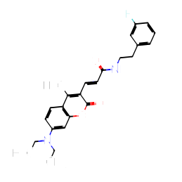 CCN(CC)c1ccc2c(C)c(/C=C/C(=O)NCCc3cccc(F)c3)c(=O)oc2c1